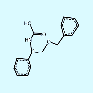 O=C(O)N[C@H](COCc1ccccc1)c1ccccc1